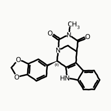 CN1C(=O)C2CN(C1=O)[C@H](c1ccc3c(c1)OCO3)c1[nH]c3ccccc3c12